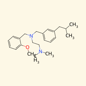 COc1ccccc1CN(CCN(C)C)Cc1cccc(CC(C)C)c1